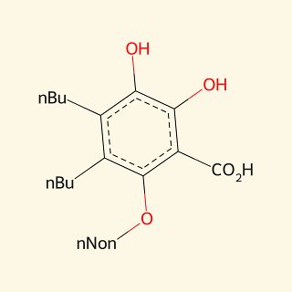 CCCCCCCCCOc1c(CCCC)c(CCCC)c(O)c(O)c1C(=O)O